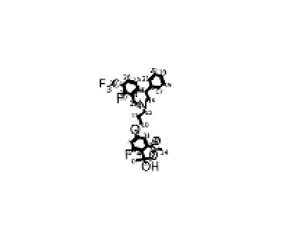 CC(C)(O)c1c(F)cc(OCCCN(CCc2ccccc2)Cc2cccc(C(F)(F)F)c2F)cc1S(C)(=O)=O